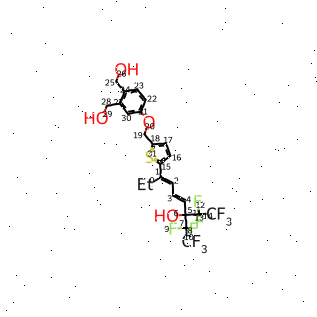 CCC(=CC=CC(O)(C(F)(F)C(F)(F)F)C(F)(F)C(F)(F)F)c1ccc(COc2ccc(CO)c(CO)c2)s1